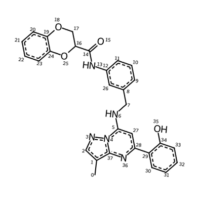 Cc1cnn2c(NCc3cccc(NC(=O)C4COc5ccccc5O4)c3)cc(-c3ccccc3O)nc12